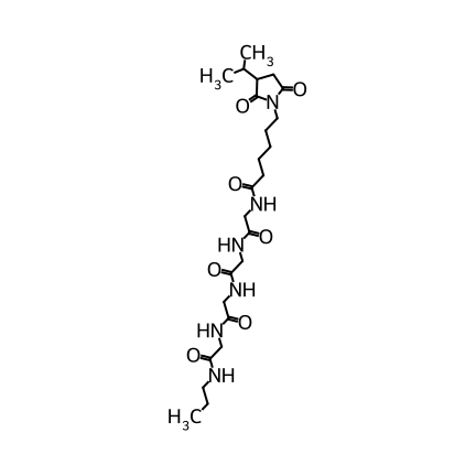 CCCNC(=O)CNC(=O)CNC(=O)CNC(=O)CNC(=O)CCCCCN1C(=O)CC(C(C)C)C1=O